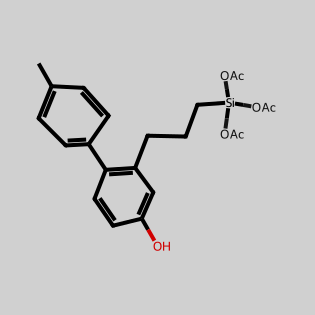 CC(=O)O[Si](CCCc1cc(O)ccc1-c1ccc(C)cc1)(OC(C)=O)OC(C)=O